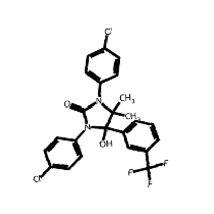 CC1(C)N(c2ccc(Cl)cc2)C(=O)N(c2ccc(Cl)cc2)C1(O)c1cccc(C(F)(F)F)c1